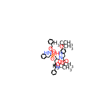 CC(C)(C)OC(=O)C(Cc1ccc(OC(C)(C)C)cc1)NC(=O)C(Cc1cc(-c2ccccc2)no1)CP(=O)(O)C(Cc1ccccc1)NC(=O)OCc1ccccc1